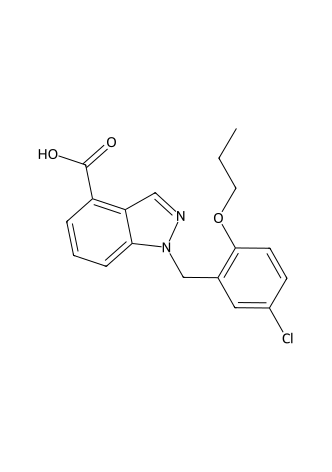 CCCOc1ccc(Cl)cc1Cn1ncc2c(C(=O)O)cccc21